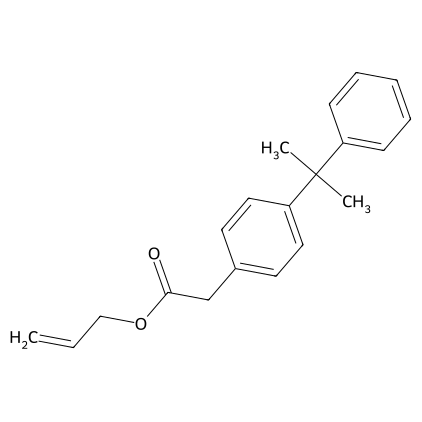 C=CCOC(=O)Cc1ccc(C(C)(C)c2ccccc2)cc1